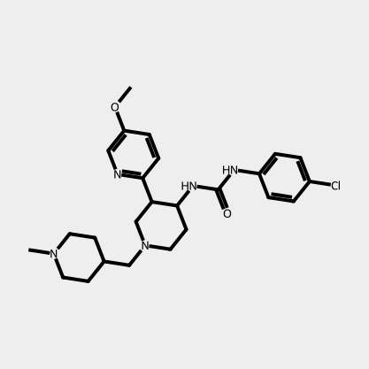 COc1ccc(C2CN(CC3CCN(C)CC3)CCC2NC(=O)Nc2ccc(Cl)cc2)nc1